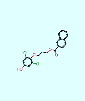 O=C(OCCCOc1c(Cl)cc(O)cc1Cl)c1ccc2ccccc2c1